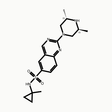 C[C@H]1CN(c2ncc3cc(S(=O)(=O)NC4(C)CC4)ccc3n2)C[C@H](C)N1